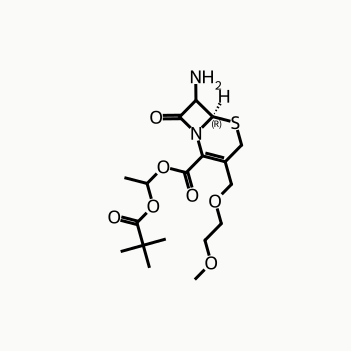 COCCOCC1=C(C(=O)OC(C)OC(=O)C(C)(C)C)N2C(=O)C(N)[C@H]2SC1